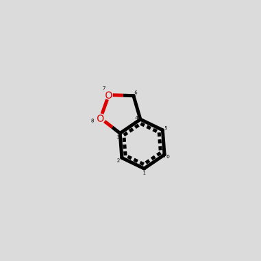 [c]1ccc2c(c1)COO2